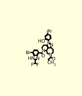 C=CC(=O)N1CCc2nn(-c3ccc(C(C)C)cc3O)c3c2C(C1)N(C(=O)c1ccc(Br)c2[nH]c(C(F)F)nc12)CC3